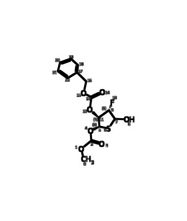 COC(=O)O[C@@H]1SC(O)[C@@H](F)[C@@H]1OC(=O)OCc1ccccc1